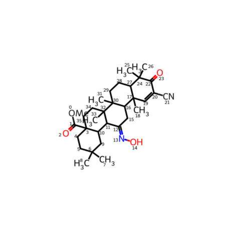 COC(=O)C12CCC(C)(C)CC1C1C(=NO)CC3C4(C)C=C(C#N)C(=O)C(C)(C)C4CCC3(C)C1(C)CC2